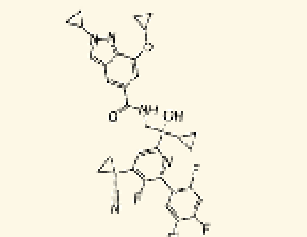 N#CC1(c2cc([C@@](O)(CNC(=O)c3cc(OC4CC4)c4nn(C5CC5)cc4c3)C3CC3)nc(-c3cc(Cl)c(F)cc3F)c2F)CC1